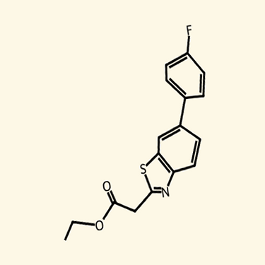 CCOC(=O)Cc1nc2ccc(-c3ccc(F)cc3)cc2s1